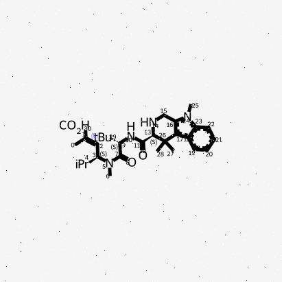 C/C(=C\[C@H](C(C)C)N(C)C(=O)[C@@H](NC(=O)[C@H]1NCc2c(c3ccccc3n2C)C1(C)C)C(C)(C)C)C(=O)O